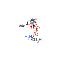 COc1ccc2c3c1O[C@H]1C(OC(=O)[C@H](C)OC(=O)CCC(N)C(=O)O)=CC[C@@]4(O)[C@@H](C2)N(C)CC[C@]314